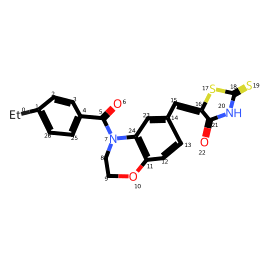 CCc1ccc(C(=O)N2CCOc3ccc(C=C4SC(=S)NC4=O)cc32)cc1